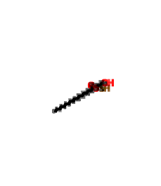 CCCCCCCCC=CCCCCCCCC(=O)OCC(S)CO